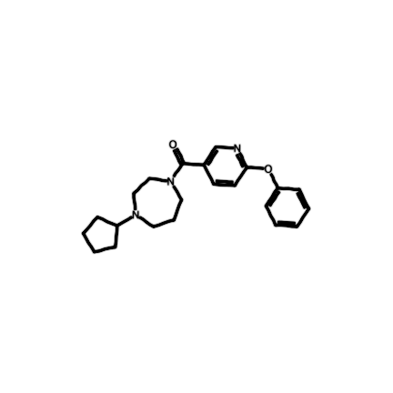 O=C(c1ccc(Oc2ccccc2)nc1)N1CCCN(C2CCCC2)CC1